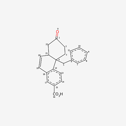 O=C1CCC2(Cc3ccccc3)c3ccc(C(=O)O)cc3C=CC2C1